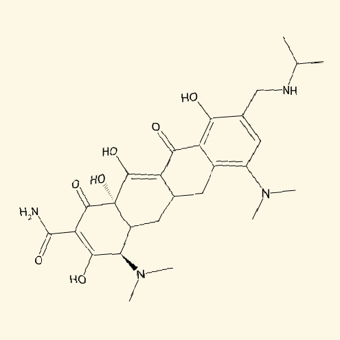 CC(C)NCc1cc(N(C)C)c2c(c1O)C(=O)C1=C(O)[C@]3(O)C(=O)C(C(N)=O)=C(O)[C@H](N(C)C)C3CC1C2